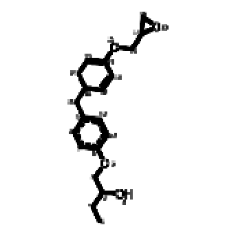 CCC(O)COc1ccc(CC2C=CC(OCC3CO3)=CC2)cc1